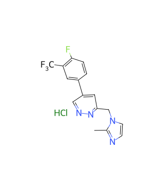 Cc1nccn1Cc1cc(-c2ccc(F)c(C(F)(F)F)c2)cnn1.Cl